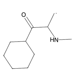 [CH2]C(NC)C(=O)C1CCCCC1